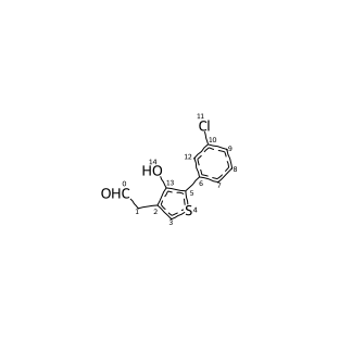 O=CCc1csc(-c2cccc(Cl)c2)c1O